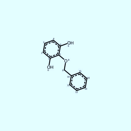 Oc1cccc(O)c1OCc1ccccc1